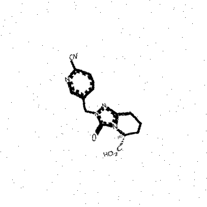 N#Cc1ccc(Cn2nc3n(c2=O)[C@@H](C(=O)O)CCC3)cn1